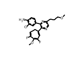 COCCCc1cnc(C2=CC(F)=C(OC)C(F)=CC2)c(-c2ccc(N)c(Cl)c2)n1